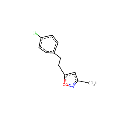 O=C(O)c1cc(CCc2ccc(Cl)cc2)on1